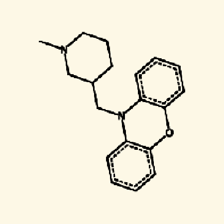 CN1CCCC(CN2c3ccccc3Oc3ccccc32)C1